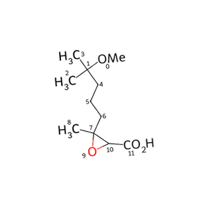 COC(C)(C)CCCC1(C)OC1C(=O)O